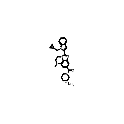 CN1CCn2c(-c3cc4ccccc4n3CC3CC3)nc3cc(C(=O)N4CCC[C@@H](N)C4)cc1c32